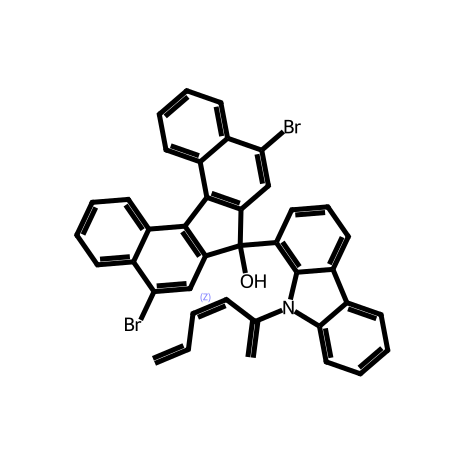 C=C/C=C\C(=C)n1c2ccccc2c2cccc(C3(O)c4cc(Br)c5ccccc5c4-c4c3cc(Br)c3ccccc43)c21